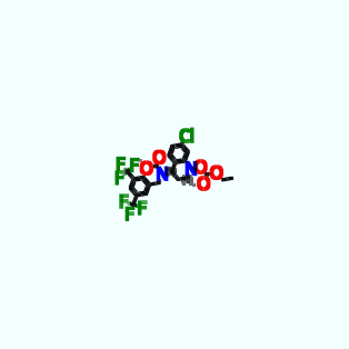 CCOC(=O)ON1c2cc(Cl)ccc2[C@@H](N(Cc2cc(C(F)(F)F)cc(C(F)(F)F)c2)C(=O)OC)C[C@H]1C